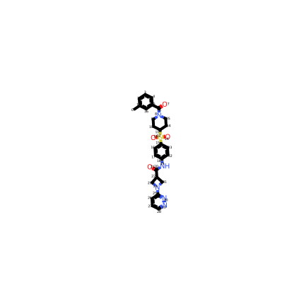 Cc1cccc(C(=O)N2CCC(S(=O)(=O)c3ccc(NC(=O)C4CN(c5cccnn5)C4)cc3)CC2)c1